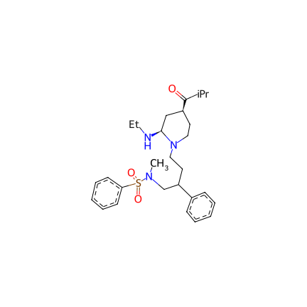 CCN[C@H]1C[C@@H](C(=O)C(C)C)CCN1CCC(CN(C)S(=O)(=O)c1ccccc1)c1ccccc1